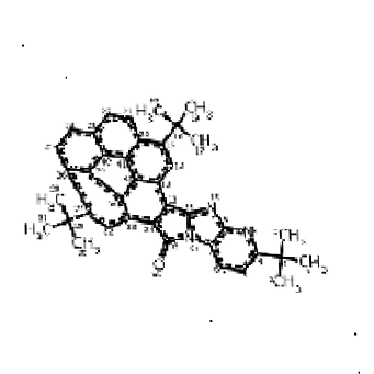 CC(C)(C)c1ccc2c(n1)nc1c3c4cc(C(C)(C)C)c5ccc6ccc7c(C(C)(C)C)cc(c3c(=O)n21)c1c7c6c5c41